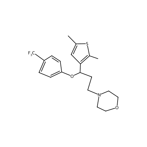 Cc1cc(C(CCN2CCOCC2)Oc2ccc(C(F)(F)F)cc2)c(C)s1